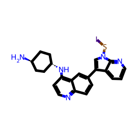 N[C@H]1CC[C@H](Nc2ccnc3ccc(-c4cn(SI)c5ncccc45)cc23)CC1